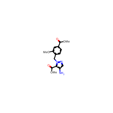 COC(=O)c1ccc(Cn2ncc(N)c2C(=O)OC)c(OC)c1